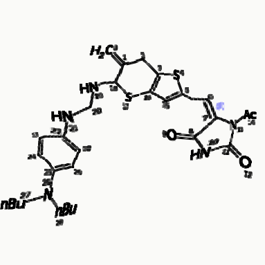 C=C1Cc2sc(/C=C3\C(=O)NC(=O)N3C(C)=O)cc2SC1NCNc1ccc(N(CCCC)CCCC)cc1